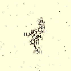 BC(O)(Oc1cc(/C(C=N)=C/NN2CCN(C)C(C)C2)cnc1N)c1cccc(C#CC(C)(C)O)c1